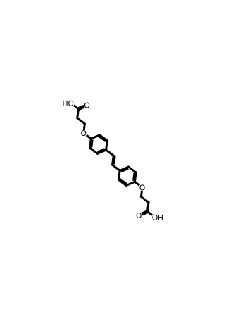 O=C(O)CCOc1ccc(/C=C/c2ccc(OCCC(=O)O)cc2)cc1